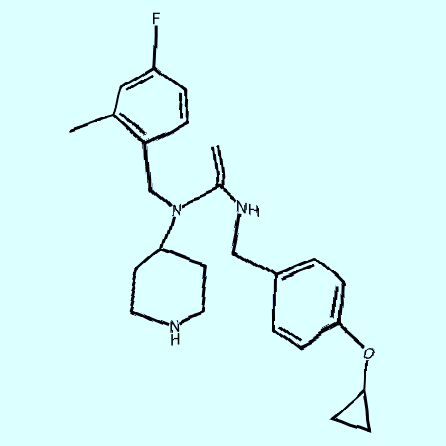 C=C(NCc1ccc(OC2CC2)cc1)N(Cc1ccc(F)cc1C)C1CCNCC1